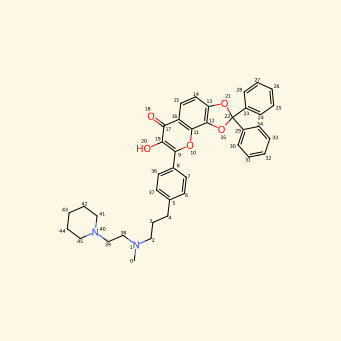 CN(CCCc1ccc(-c2oc3c4c(ccc3c(=O)c2O)OC(c2ccccc2)(c2ccccc2)O4)cc1)CCN1CCCCC1